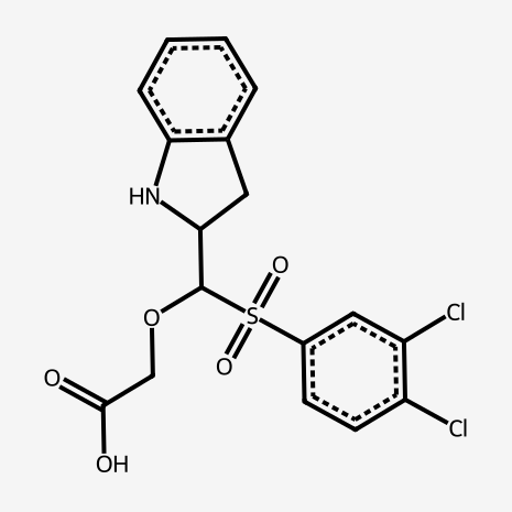 O=C(O)COC(C1Cc2ccccc2N1)S(=O)(=O)c1ccc(Cl)c(Cl)c1